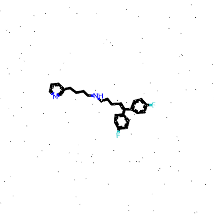 Fc1ccc(C(=CCCCNCCCCc2cccnc2)c2ccc(F)cc2)cc1